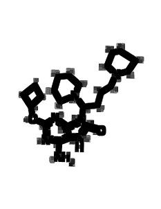 Nc1nc(OC2CCC2)nc2c1[nH]c(=O)n2C(CCCN1CCCCC1)N1CCCCC1